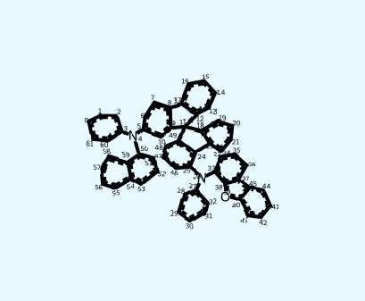 c1ccc(N(c2ccc3c(c2)C2(c4ccccc4-3)c3ccccc3-c3c(N(c4ccccc4)c4cccc5c4oc4ccccc45)cccc32)c2cccc3ccccc23)cc1